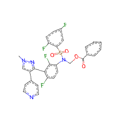 Cn1cc(-c2ccncc2)c(-c2c(F)ccc(N(COC(=O)c3ccccc3)S(=O)(=O)c3cc(F)ccc3F)c2F)n1